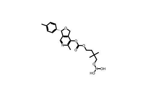 Cc1ccc([C@@H]2OCc3c2cnc(C)c3OC(=O)OCCC(C)(C)CON(O)O)cc1